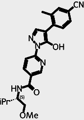 COC[C@@H](NC(=O)c1ccc(-n2ncc(-c3ccc(C#N)cc3C)c2O)nc1)C(C)C